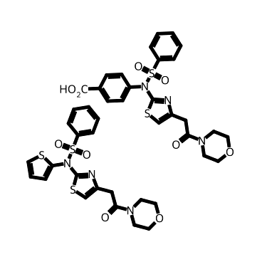 O=C(Cc1csc(N(c2cccs2)S(=O)(=O)c2ccccc2)n1)N1CCOCC1.O=C(O)c1ccc(N(c2nc(CC(=O)N3CCOCC3)cs2)S(=O)(=O)c2ccccc2)cc1